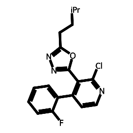 CC(C)CCc1nnc(-c2c(-c3ccccc3F)ccnc2Cl)o1